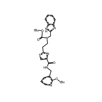 CC(C)(C)OC(=O)N(CCc1nc(C(=O)NCc2cccnc2OC(C)(C)C)cs1)Cc1nc2ccccc2[nH]1